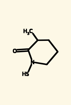 CC1CCCN(S)C1=O